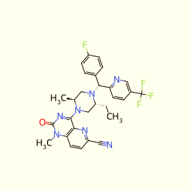 CC[C@@H]1CN(c2nc(=O)n(C)c3ccc(C#N)nc23)[C@@H](C)CN1[C@H](c1ccc(F)cc1)c1ccc(C(F)(F)F)cn1